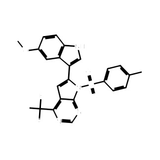 COc1ccc2[nH]cc(-c3cc4c(C(F)(F)F)ncnc4n3S(=O)(=O)c3ccc(C)cc3)c2c1